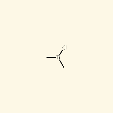 [CH3][Ti]([CH3])[Cl]